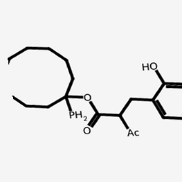 CC(=O)C(Cc1ccccc1O)C(=O)OC1(P)CCCCCCCCC1